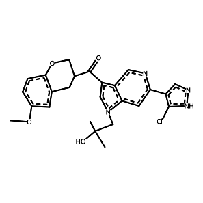 COc1ccc2c(c1)CC(C(=O)c1cn(CC(C)(C)O)c3cc(-c4cn[nH]c4Cl)ncc13)CO2